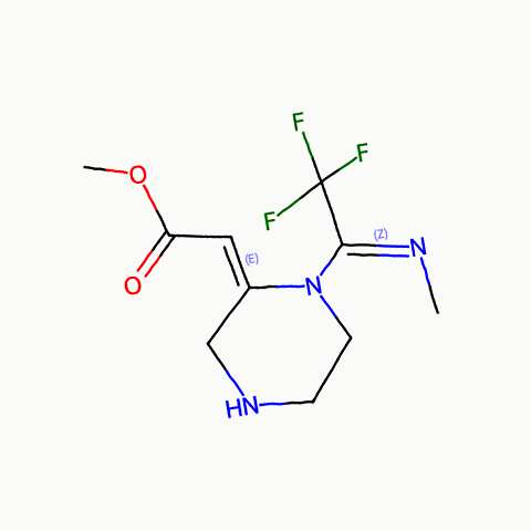 C/N=C(\N1CCNC/C1=C\C(=O)OC)C(F)(F)F